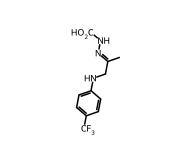 CC(CNc1ccc(C(F)(F)F)cc1)=NNC(=O)O